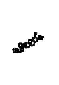 CC(C)(C)OC(=O)N1CCC2(CCc3cc(Br)c(F)cc3O2)CC1